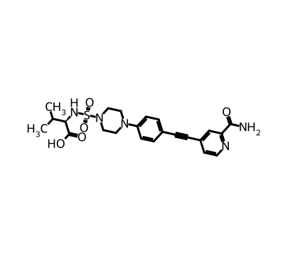 CC(C)[C@@H](NS(=O)(=O)N1CCN(c2ccc(C#Cc3ccnc(C(N)=O)c3)cc2)CC1)C(=O)O